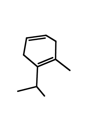 CC1=C(C(C)C)CC=CC1